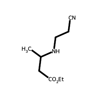 CCOC(=O)CC(C)NCCC#N